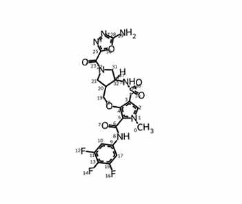 Cn1cc2c(c1C(=O)Nc1cc(F)c(F)c(F)c1)OCC1CN(C(=O)c3nnc(N)o3)C[C@@H]1NS2(=O)=O